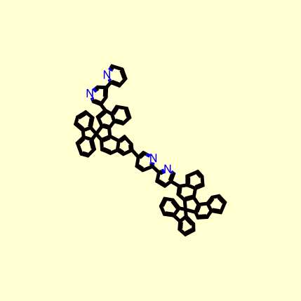 c1ccc(-c2cncc(-c3cc4c(c5ccccc35)-c3c(ccc5cc(-c6ccc(-c7ccc(-c8cc9c(c%10ccccc8%10)-c8c(ccc%10ccccc8%10)C98c9ccccc9-c9ccccc98)cn7)nc6)ccc35)C43c4ccccc4-c4ccccc43)c2)nc1